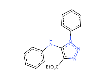 CCOC(=O)c1nnn(-c2ccccc2)c1Nc1ccccc1